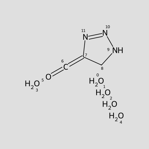 O.O.O.O.O.O=C=C1CNN=N1